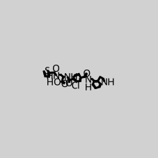 O=C(NCc1cccc2c1CCN2)c1ccc(C(=O)NC(CNC(=O)c2cccs2)C(=O)O)c(Cl)c1